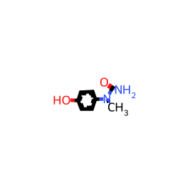 CN(C(N)=O)c1ccc(O)cc1